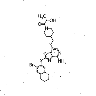 C[C@H](O)C(=O)N1CCC(CCn2cnc(N)c3nc(Sc4cc5c(cc4Br)CCCC5)nc2-3)CC1